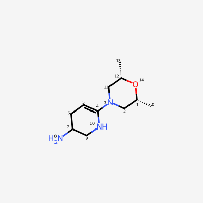 C[C@@H]1CN(C2=CCC(N)CN2)C[C@H](C)O1